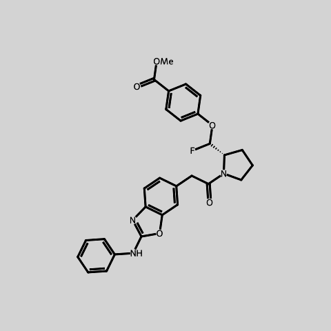 COC(=O)c1ccc(OC(F)[C@@H]2CCCN2C(=O)Cc2ccc3nc(Nc4ccccc4)oc3c2)cc1